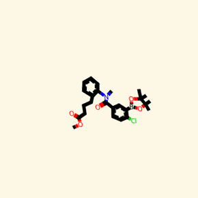 COC(=O)CCCc1ccccc1N(C)C(=O)c1ccc(Cl)c(B2OC(C)(C)C(C)(C)O2)c1